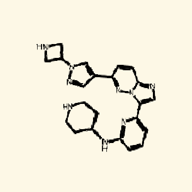 c1cc(NC2CCNCC2)nc(-c2cnc3ccc(-c4cnn(C5CNC5)c4)nn23)c1